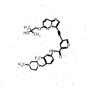 CN1CCN(Cc2ccc(NC(=O)c3cncc(C#Cc4cnc5ccc(OCC(C)(C)O)nn45)c3)cc2C(F)(F)F)CC1